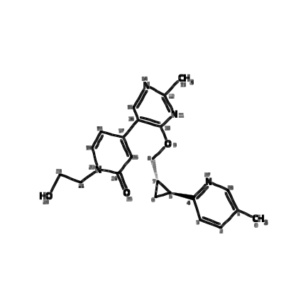 Cc1ccc([C@H]2C[C@@H]2COc2nc(C)ncc2-c2ccn(CCO)c(=O)c2)nc1